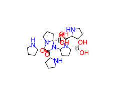 O=C([C@@H]1CCCN1)N1C(N(C(=O)[C@@H]2CCCN2)[C@]2(B(O)O)CCCN2C(=O)[C@@H]2CCCN2)CC[C@H]1B(O)O